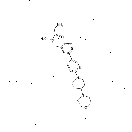 CN(Cc1cccc(-c2cnc(N3CCC(N4CCOCC4)CC3)nc2)c1)C(=O)CN